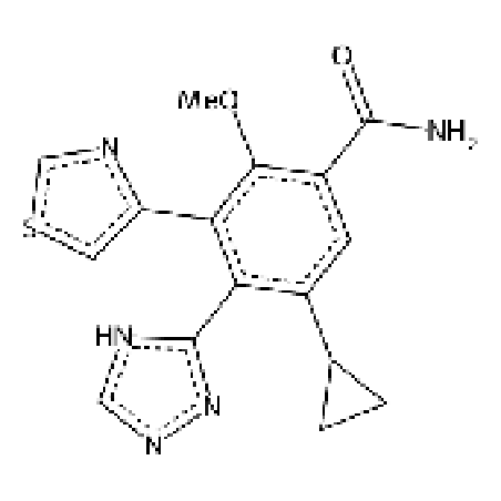 COc1c(C(N)=O)cc(C2CC2)c(-c2nnc[nH]2)c1-c1cscn1